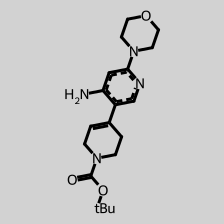 CC(C)(C)OC(=O)N1CC=C(c2cnc(N3CCOCC3)cc2N)CC1